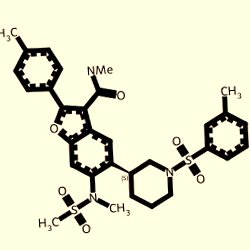 CNC(=O)c1c(-c2ccc(C)cc2)oc2cc(N(C)S(C)(=O)=O)c([C@@H]3CCCN(S(=O)(=O)c4cccc(C)c4)C3)cc12